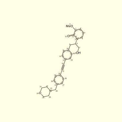 COc1cccn(C(CO)Cc2ccc(C#Cc3ccc(CN4CCOCC4)cc3)cc2)c1=O